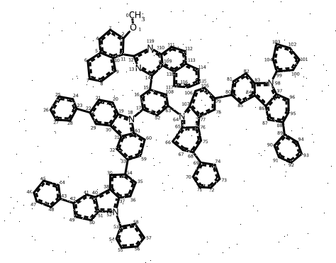 COc1ccc2ccccc2c1-c1nc(-c2cc(-n3c4ccc(-c5ccccc5)cc4c4cc(-c5ccc6c(c5)c5cc(-c7ccccc7)ccc5n6-c5ccccc5)ccc43)cc(-n3c4ccc(-c5ccccc5)cc4c4cc(-c5ccc6c(c5)c5cc(-c7ccccc7)ccc5n6-c5ccccc5)ccc43)c2)c2c(ccc3ccccc32)n1